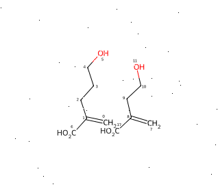 C=C(CCCO)C(=O)O.C=C(CCO)C(=O)O